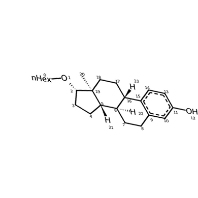 CCCCCCO[C@H]1CC[C@H]2[C@@H]3CCc4cc(O)ccc4[C@H]3CC[C@]12C